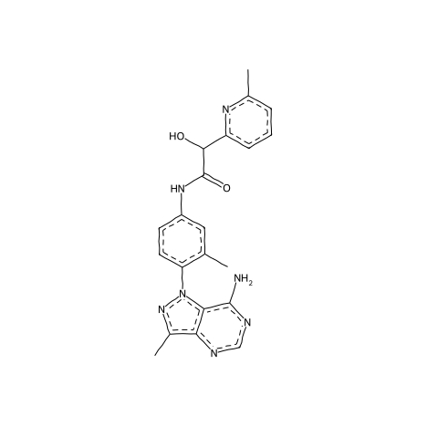 Cc1cccc(C(O)C(=O)Nc2ccc(-n3nc(C)c4ncnc(N)c43)c(C)c2)n1